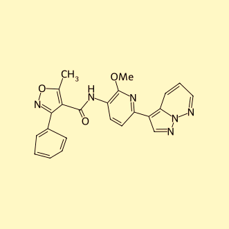 COc1nc(-c2cnn3ncccc23)ccc1NC(=O)c1c(-c2ccccc2)noc1C